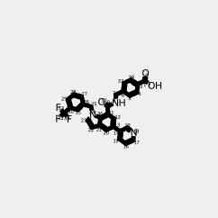 O=C(O)c1ccc(CNC(=O)c2cc(-c3cccnc3)cc3ccn(Cc4cccc(C(F)(F)F)c4)c23)cc1